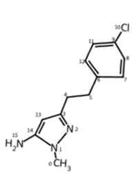 Cn1nc(CCc2ccc(Cl)cc2)cc1N